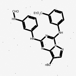 CCCCc1cnn2c(Nc3cccc(C(=O)OCC)c3)nc(Nc3cccc(NC=O)c3)nc12